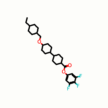 CCC1CCC(COC2CCC(C3CCC(C(=O)Oc4cc(F)c(F)c(F)c4)CC3)CC2)CC1